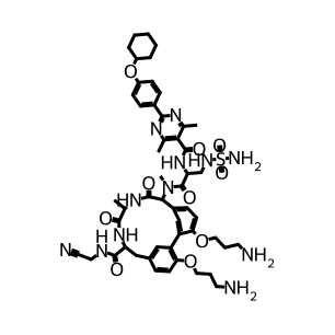 Cc1nc(-c2ccc(OC3CCCCC3)cc2)nc(C)c1C(=O)NC(CNS(N)(=O)=O)C(=O)N(C)C1C(=O)NC(C)C(=O)NC(C(=O)NCC#N)Cc2ccc(OCCCN)c(c2)-c2cc1ccc2OCCCN